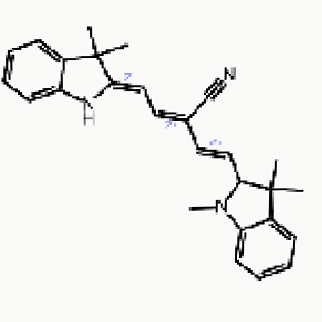 CN1c2ccccc2C(C)(C)C1/C=C/C(C#N)=C/C=C1\Nc2ccccc2C1(C)C